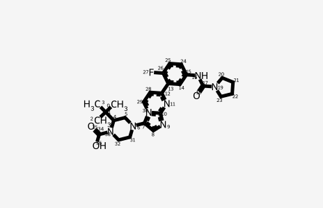 CC(C)(C)C1CN(c2cnc3nc(-c4cc(NC(=O)N5CCCC5)ccc4F)ccn23)CCN1C(=O)O